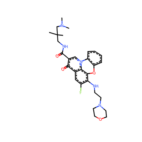 CN(C)CC(C)(C)CNC(=O)c1cn2c3c(c(NCCN4CCOCC4)c(F)cc3c1=O)Oc1ccccc1-2